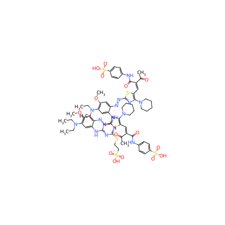 CCN(CC)c1cc(Nc2nc(Nc3cc(N(CC)CC)c(OC)cc3/N=N/c3nc(N4CCCCC4)c(/C=C(\C(C)=O)C(=O)Nc4ccc(S(=O)(=O)O)cc4)s3)nc(SCCS(=O)(=O)O)n2)c(/N=N/c2nc(N3CCCCC3)c(/C=C(/C(C)=O)C(=O)Nc3ccc(S(=O)(=O)O)cc3)s2)cc1OC